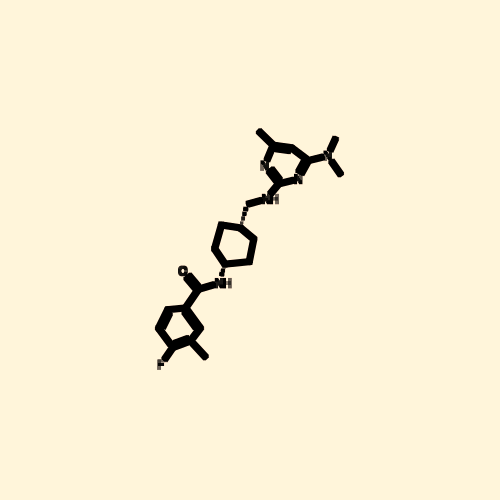 Cc1cc(N(C)C)nc(NC[C@H]2CC[C@@H](NC(=O)c3ccc(F)c(C)c3)CC2)n1